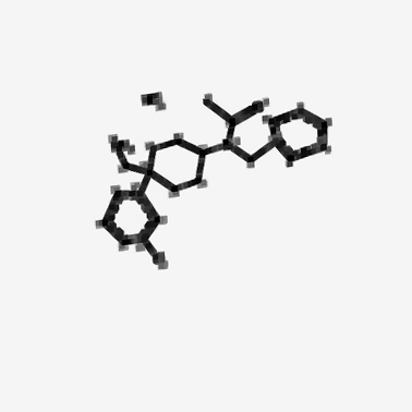 CC(=O)N(Cc1ccccc1)C1CCC(CN)(c2cccc(Cl)c2)CC1.Cl